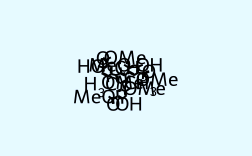 COC(=O)c1cc(-c2c(C)c(-c3cc(C(=O)OC)c(O)cc3OC)c(C)c(-c3cc(C(=O)OC)c(O)cc3OC)c2C)c(OC)cc1O